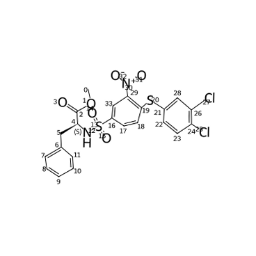 COC(=O)[C@H](Cc1ccccc1)NS(=O)(=O)c1ccc(Sc2ccc(Cl)c(Cl)c2)c([N+](=O)[O-])c1